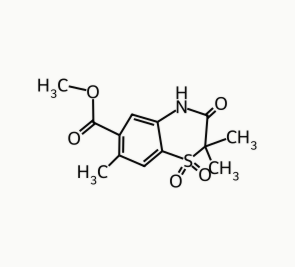 COC(=O)c1cc2c(cc1C)S(=O)(=O)C(C)(C)C(=O)N2